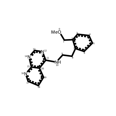 COCc1ccccc1CCNc1ncnc2ncccc12